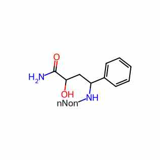 CCCCCCCCCNC(CC(O)C(N)=O)c1ccccc1